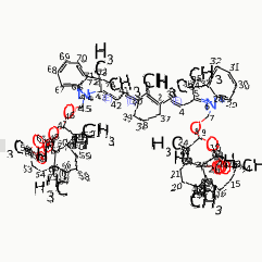 CC1=C(/C=C/C2=[N+](COC3O[C@@H]4O[C@]5(C)CC[C@H]6[C@H](C)CC[C@@H]([C@H]3C)C46OO5)c3ccccc3C2(C)C)CCC/C1=C\C=C1\N(COC2O[C@@H]3O[C@]4(C)CC[C@H]5[C@H](C)CC[C@@H]([C@H]2C)C35OO4)c2ccccc2C1(C)C